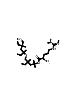 CCC(C)(CSC(C)(CC)CC(C)(CC)CO)CC(C)(C)NC(=O)C(N)CCCN/C(=N/C)NC